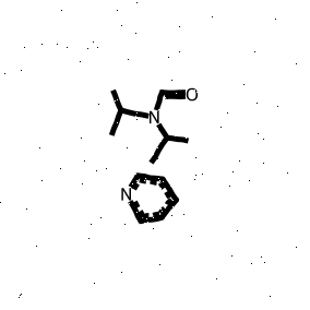 CC(C)N(C=O)C(C)C.c1ccncc1